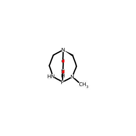 CN1CC[N@@]2CCNCP1NCC2